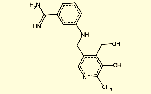 Cc1ncc(CNc2cccc(C(=N)N)c2)c(CO)c1O